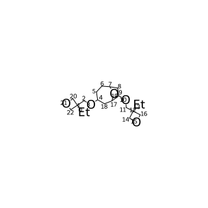 CCC1(COC2CCC3CC(OCC4(CC)COC4)C(C2)O3)COC1